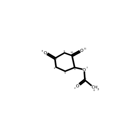 CC(=O)OC1CCC(=O)CC1=O